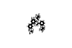 O[C@@H](CN1c2cccc(-c3cccc(OC(F)(F)F)c3)c2OCC1[C@@H]1C=C(OC(F)(F)C(F)F)C=CC1)C(F)(F)F